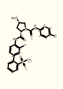 CO[C@@H]1C[C@H](C(=O)Nc2ccc(-c3ccccc3S(C)(=O)=O)cc2F)N(C(=O)Nc2ccc(Cl)cn2)C1